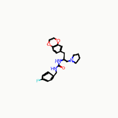 O=C(NCc1ccc(F)cc1)NC(Cc1ccc2c(c1)OCCO2)CN1CCCC1